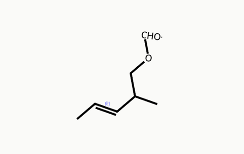 C/C=C/C(C)CO[C]=O